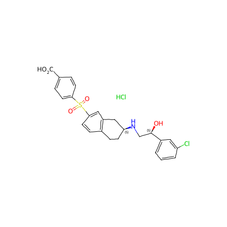 Cl.O=C(O)c1ccc(S(=O)(=O)c2ccc3c(c2)C[C@@H](NC[C@@H](O)c2cccc(Cl)c2)CC3)cc1